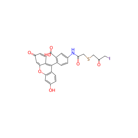 O=C(CI)CSCC(=O)Nc1ccc(-c2c3ccc(=O)cc-3oc3cc(O)ccc23)c(C(=O)O)c1